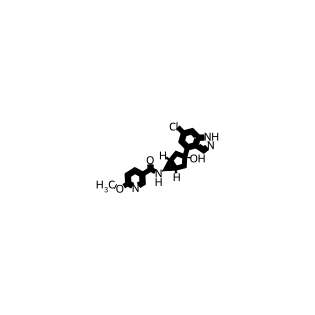 COc1ccc(C(=O)N[C@@H]2[C@@H]3C[C@@](O)(c4cc(Cl)cc5[nH]ncc45)C[C@@H]32)cn1